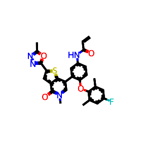 C=CC(=O)Nc1ccc(Oc2c(C)cc(F)cc2C)c(-c2cn(C)c(=O)c3cc(-c4nnc(C)o4)sc23)c1